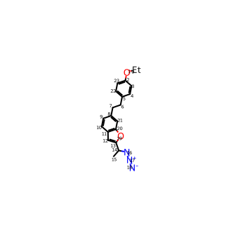 CCOc1ccc(CCc2ccc3cc(C(C)N=[N+]=[N-])oc3c2)cc1